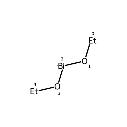 CC[O][Bi][O]CC